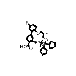 C[C@@H](COc1ccc(F)cc1-c1ccc(C(=O)O)c(F)c1)CO[Si](c1ccccc1)(c1ccccc1)C(C)(C)C